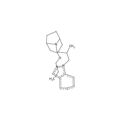 CCCOC1CC2CCC(C1)N2CC(C)Cn1ncc2ccccc21